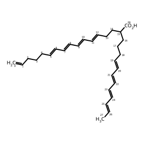 C=CCCCC=CC=CC=CC=CCCC(CCCC=CC=CC=CC=CC)C(=O)O